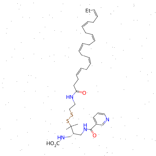 CC/C=C\C/C=C\C/C=C\C/C=C\C/C=C\C/C=C\CCC(=O)NCCSSC(C)(C)[C@@H](CNC(=O)O)CNC(=O)c1cccnc1